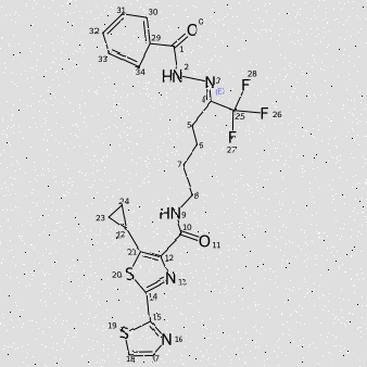 O=C(N/N=C(\CCCCNC(=O)c1nc(-c2nccs2)sc1C1CC1)C(F)(F)F)c1ccccc1